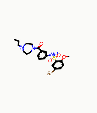 CCCN1CCCN(C(=O)c2cccc(NS(=O)(=O)c3cc(Br)ccc3OC)c2)CC1